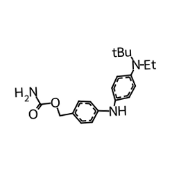 CCN(c1ccc(Nc2ccc(COC(N)=O)cc2)cc1)C(C)(C)C